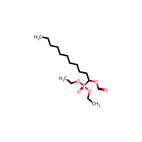 CCCCCCCCCCC(OC=O)P(=O)(OCC)OCC